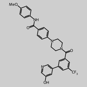 COc1ccc(NC(=O)c2ccc(N3CCN(C(=O)c4cc(-c5cncc(O)c5)cc(C(F)(F)F)c4)CC3)cc2)cc1